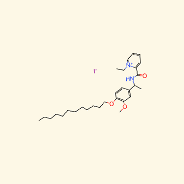 CCCCCCCCCCCCOc1ccc(C(C)NC(=O)c2cccc[n+]2CC)cc1OC.[I-]